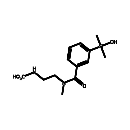 CN(CCNC(=O)O)C(=O)c1cccc([Si](C)(C)O)c1